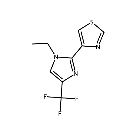 CCn1cc(C(F)(F)F)nc1-c1cscn1